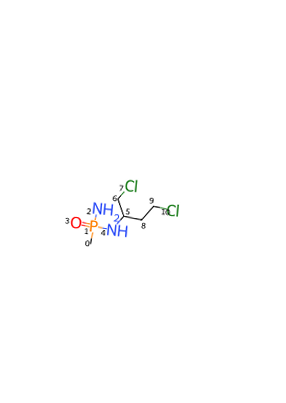 CP(N)(=O)NC(CCl)CCCl